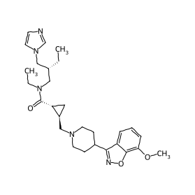 CC[C@H](CN(CC)C(=O)[C@@H]1C[C@H]1CN1CCC(c2noc3c(OC)cccc23)CC1)Cn1ccnc1